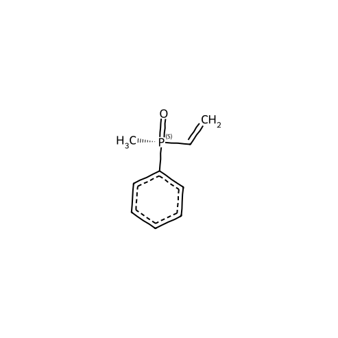 C=C[P@](C)(=O)c1ccccc1